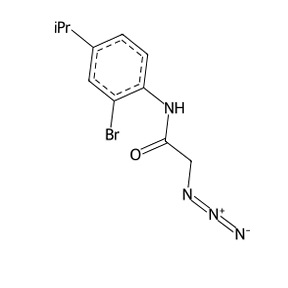 CC(C)c1ccc(NC(=O)CN=[N+]=[N-])c(Br)c1